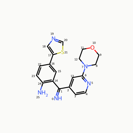 N=C(c1ccnc(N2CCOCC2)c1)c1cc(-c2cncs2)ccc1N